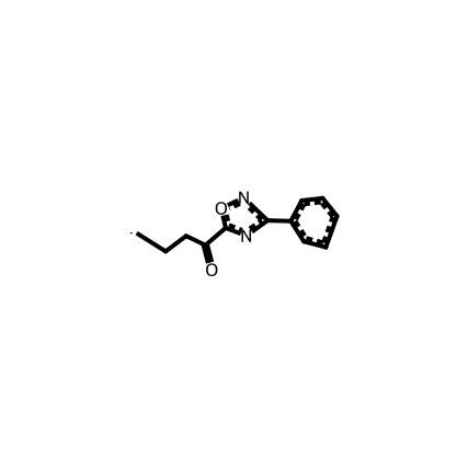 [CH2]CCC(=O)c1nc(-c2ccccc2)no1